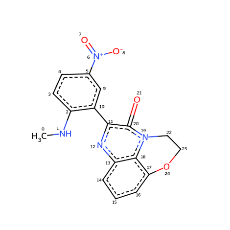 CNc1ccc([N+](=O)[O-])cc1-c1nc2cccc3c2n(c1=O)CCO3